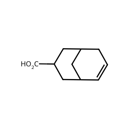 O=C(O)C1CC2C=CCC(C2)C1